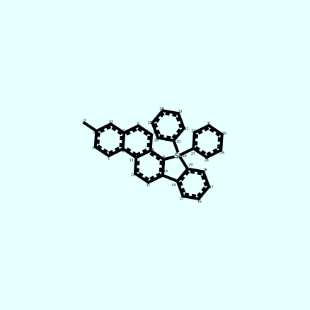 Cc1ccc2c(ccc3c4c(ccc32)-c2ccccc2[Si]4(c2ccccc2)c2ccccc2)c1